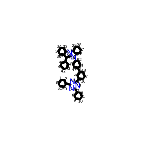 c1ccc(-c2nc(-c3ccccc3)nc(-c3cccc(-c4ccc(-n5c6ccccc6n6c7ccccc7c(-c7ccccc7)c56)cc4)c3)n2)cc1